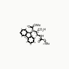 COC(=O)N(C1c2ccccc2-c2ccccc21)[C@@H](CNC(=O)OC(C)(C)C)C(=O)O